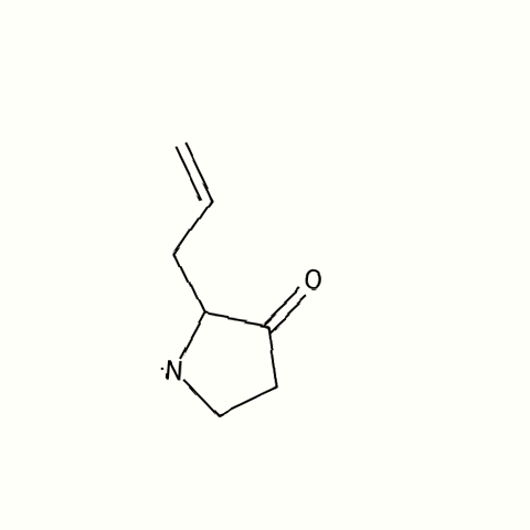 C=CCC1[N]CCC1=O